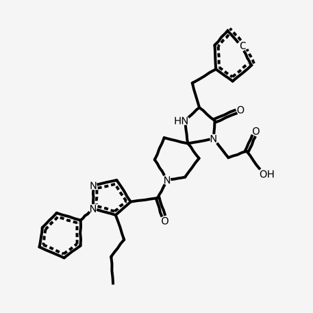 CCCc1c(C(=O)N2CCC3(CC2)NC(Cc2ccccc2)C(=O)N3CC(=O)O)cnn1-c1ccccc1